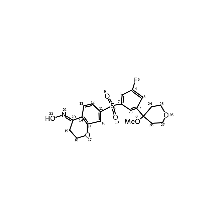 COC1(c2cc(F)cc(S(=O)(=O)c3ccc4c(c3)OCCC4=NO)c2)CCOCC1